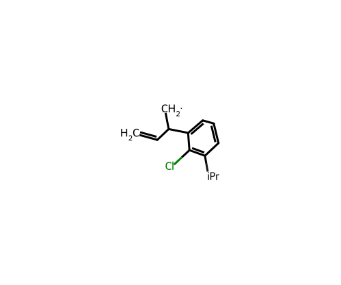 [CH2]C(C=C)c1cccc(C(C)C)c1Cl